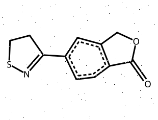 O=C1OCc2cc(C3=NSCC3)ccc21